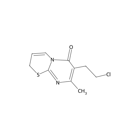 Cc1nc2n(c(=O)c1CCCl)C=CCS2